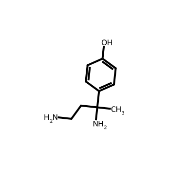 CC(N)(CCN)c1ccc(O)cc1